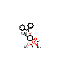 CCOC(C)OC1(OC(C)OCC)CCC(C)C(O[Si](c2ccccc2)(c2ccccc2)C(C)(C)C)C1